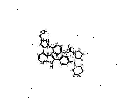 CCn1cc(-c2ccnc3[nH]c(-c4ccc(CN5CCOCC5)cc4)cc23)c(-c2ccc(NC(=O)N3CCCC3)cc2)n1